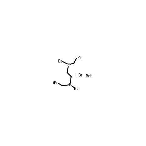 Br.Br.CCP(CCP(CC)CC(C)C)CC(C)C